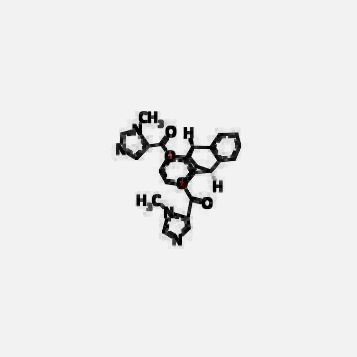 Cn1cncc1C(=O)OC1C(OC(=O)c2cncn2C)[C@H]2c3ccccc3[C@H]1c1ccccc12